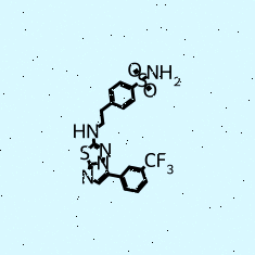 NS(=O)(=O)c1ccc(CCNc2nn3c(-c4cccc(C(F)(F)F)c4)cnc3s2)cc1